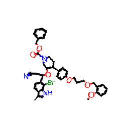 COc1ccccc1COCCCOc1ccc(C2CCN(C(=O)OCc3ccccc3)CC2OC(CC#N)c2ccc3c(C)c[nH]c3c2Br)cc1